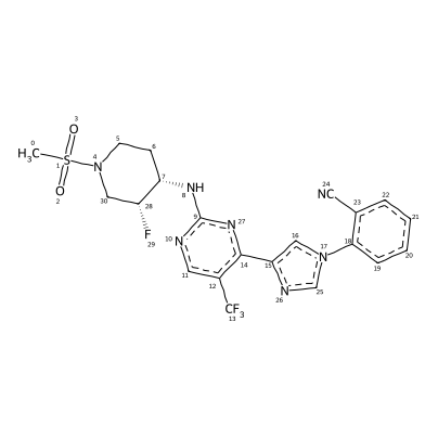 CS(=O)(=O)N1CC[C@H](Nc2ncc(C(F)(F)F)c(-c3cn(-c4ccccc4C#N)cn3)n2)[C@H](F)C1